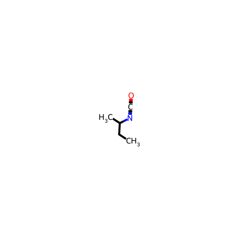 CCC(C)N=C=O